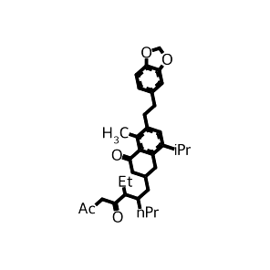 CCCC(CC1CC(=O)c2c(C)c(CCc3ccc4c(c3)OCO4)cc(C(C)C)c2C1)C(CC)C(=O)CC(C)=O